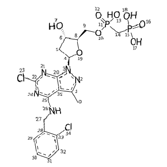 Cc1nn([C@H]2C[C@H](O)[C@@H](COP(=O)(O)CP(=O)(O)O)O2)c2nc(Cl)nc(NCc3ccccc3Cl)c12